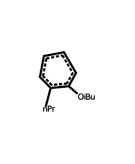 [CH2]CCc1ccccc1OCC(C)C